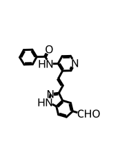 O=Cc1ccc2[nH]nc(/C=C/c3cnccc3NC(=O)c3ccccc3)c2c1